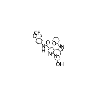 Cc1cnn(C2CCCCO2)c1-c1cc(C(=O)Nc2ccc(OC(F)(F)F)cc2)cnc1N1CC[C@@H](O)C1